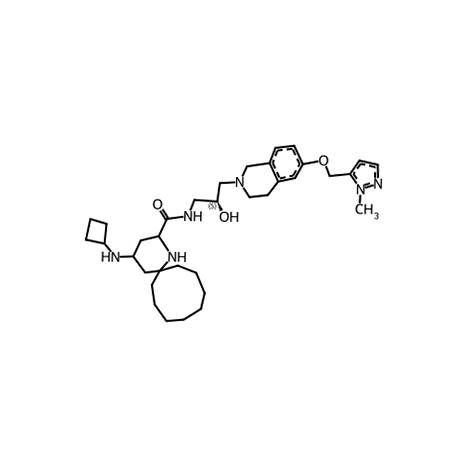 Cn1nccc1COc1ccc2c(c1)CCN(C[C@@H](O)CNC(=O)C1CC(NC3CCC3)CC3(CCCCCCCC3)N1)C2